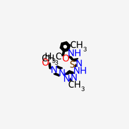 CCc1cccc(C)c1NC(=O)c1cnc(Nc2cc(N3CCN(CCOC)CC3)nc(C)n2)s1